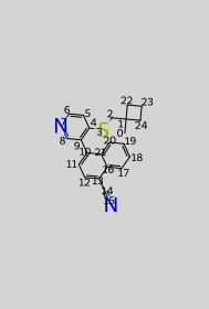 CC1(CSc2ccncc2-c2ccc(C#N)c3ccccc23)CCC1